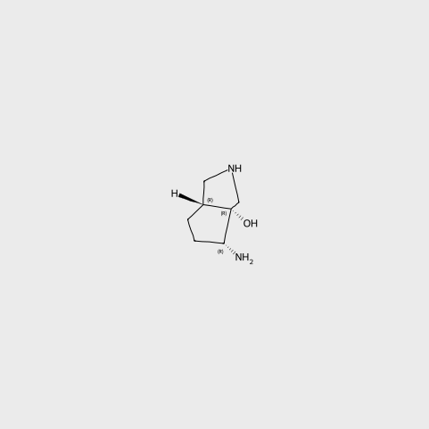 N[C@@H]1CC[C@@H]2CNC[C@]21O